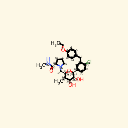 CCOc1ccc(Cc2cc([C@@H]3O[C@H](CN4CCC[C@H]4C(=O)NC)[C@@H](C)[C@H](O)[C@H]3O)ccc2Cl)cc1